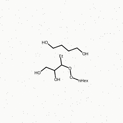 CCCCCCOOC(CC)C(O)CO.OCCCCO